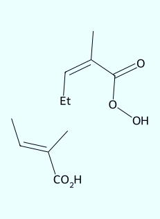 CC=C(C)C(=O)O.CCC=C(C)C(=O)OO